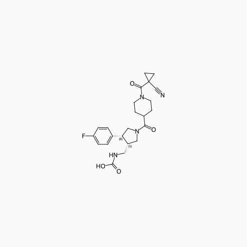 N#CC1(C(=O)N2CCC(C(=O)N3C[C@H](CNC(=O)O)[C@H](c4ccc(F)cc4)C3)CC2)CC1